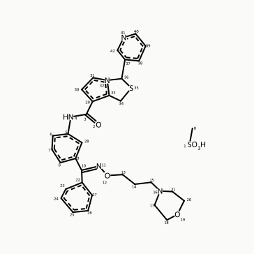 CS(=O)(=O)O.O=C(Nc1cccc(C(=NOCCCN2CCOCC2)c2ccccc2)c1)c1ccn2c1CSC2c1cccnc1